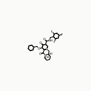 O=C(NCc1c(F)cc(F)cc1F)c1cn2c(c(OCc3ccccc3)c1=O)C(=O)N1C3CCC(CC3)[C@H]1C2